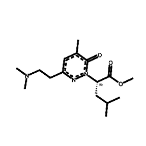 COC(=O)[C@H](CC(C)C)n1nc(CCN(C)C)cc(C)c1=O